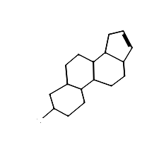 NC1CCC2C(CCC3C4CC=CC4CCC23)C1